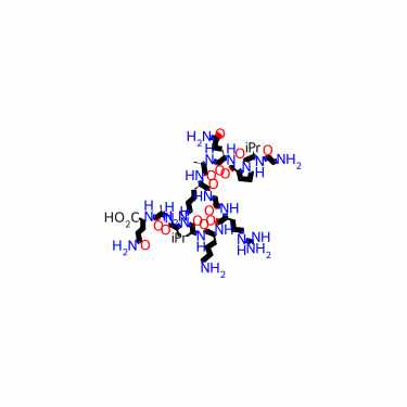 CC(C)[C@H](NC(=O)[C@H](CCCCN)NC(=O)[C@H](CCCNC(=N)N)NC(=O)CNC(=O)[C@H](CCCCN)NC(=O)[C@H](C)NC(=O)[C@H](CCC(N)=O)NC(=O)[C@@H]1CCCN1C(=O)[C@@H](NC(=O)CN)C(C)C)C(=O)N[C@@H](C)C(=O)N[C@@H](C)C(=O)N[C@@H](CCC(N)=O)C(=O)O